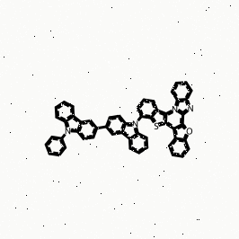 c1ccc(-n2c3ccccc3c3cc(-c4ccc5c(c4)c4ccccc4n5-c4cccc5c4sc4c6c7ccccc7oc6c6nc7ccccc7n6c54)ccc32)cc1